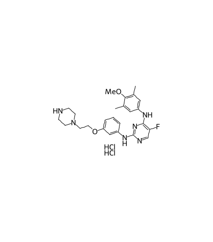 COc1c(C)cc(Nc2nc(Nc3cccc(OCCN4CCNCC4)c3)ncc2F)cc1C.Cl.Cl